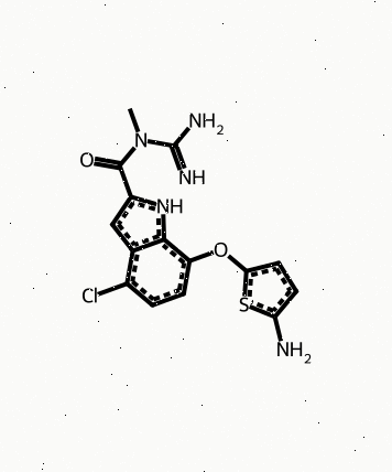 CN(C(=N)N)C(=O)c1cc2c(Cl)ccc(Oc3ccc(N)s3)c2[nH]1